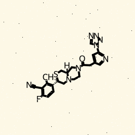 Cc1c([C@H]2CN3CCN(C(=O)Cc4cncc(-n5cnnn5)c4)C[C@H]3CS2)ccc(F)c1C#N